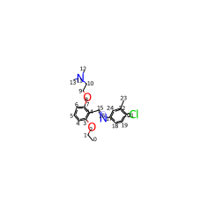 CCOc1cccc(OCCN(C)C)c1/C=N/c1ccc(Cl)c(C)c1